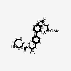 CO[C@@H](C)Cn1c(=O)oc2ccc(-c3ccc(C[C@@H](C#N)NC(=O)[C@@H]4CNCCCO4)cc3)cc21